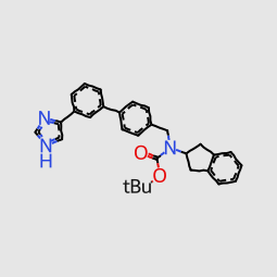 CC(C)(C)OC(=O)N(Cc1ccc(-c2cccc(-c3c[nH]cn3)c2)cc1)C1Cc2ccccc2C1